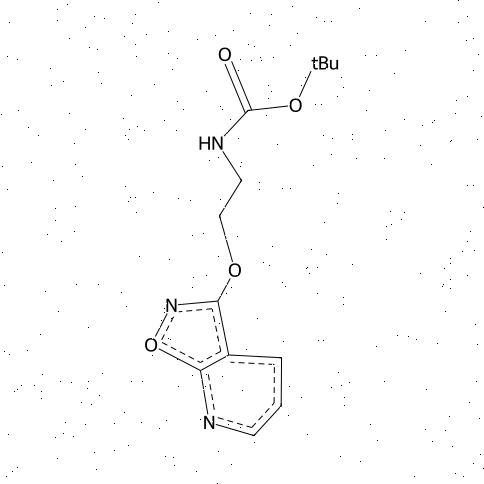 CC(C)(C)OC(=O)NCCOc1noc2ncccc12